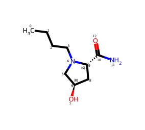 CCCCN1C[C@H](O)C[C@H]1C(N)=O